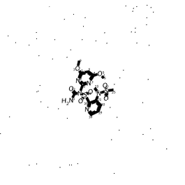 COc1cc(OC)nc(N(C(N)=O)S(=O)(=O)c2ncccc2N(C)S(C)(=O)=O)n1